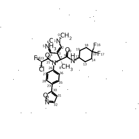 C=N/C=C(\C=N/C)[C@@](C)(C(=O)NC1CCC(F)(F)CC1)N(C(=O)[C@H](F)Cl)c1ccc(-c2ccno2)cc1